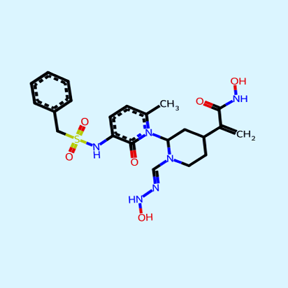 C=C(C(=O)NO)C1CCN(C=NNO)C(n2c(C)ccc(NS(=O)(=O)Cc3ccccc3)c2=O)C1